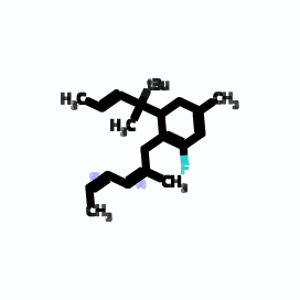 CC=CC(C)(C1CC(C)=CC(F)=C1C/C(C)=C\C=C/C)C(C)(C)C